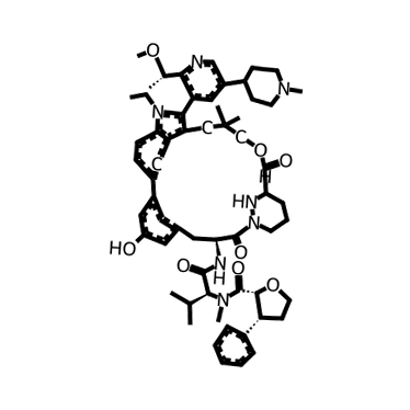 CCn1c(-c2cc(C3CCN(C)CC3)cnc2[C@H](C)OC)c2c3cc(ccc31)-c1cc(O)cc(c1)C[C@H](NC(=O)[C@H](C(C)C)N(C)C(=O)[C@@H]1OCC[C@@H]1c1ccccc1)C(=O)N1CCC[C@H](N1)C(=O)OCC(C)(C)C2